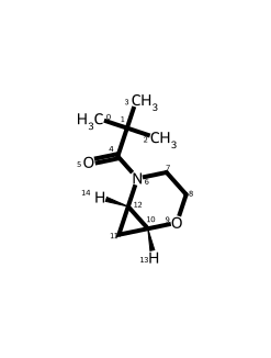 CC(C)(C)C(=O)N1CCO[C@@H]2C[C@@H]21